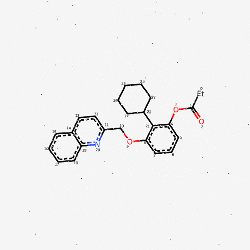 CCC(=O)Oc1cccc(OCc2ccc3ccccc3n2)c1C1CCCCC1